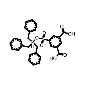 O=C(O)c1cc(C(=O)O)cc(S(=O)(=O)O[PH](Cc2ccccc2)(Cc2ccccc2)Cc2ccccc2)c1